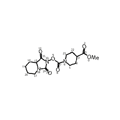 COC(=O)C1CCN(C(=O)ON2C(=O)C3CCCCN3C2=O)CC1